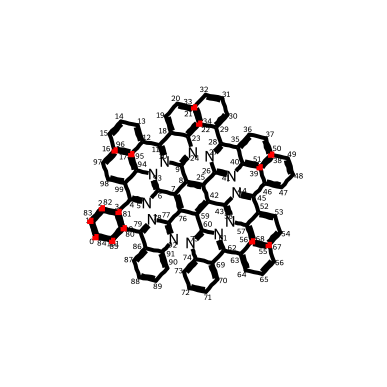 c1ccc(-c2nc(-c3c(-c4nc(-c5ccccc5)c5ccccc5n4)c(-c4nc(-c5ccccc5)c5ccccc5n4)c(-c4nc(-c5ccccc5)c5ccccc5n4)c(-c4nc(-c5ccccc5)c5ccccc5n4)c3-c3nc(-c4ccccc4)c4ccccc4n3)nc3ccccc23)cc1